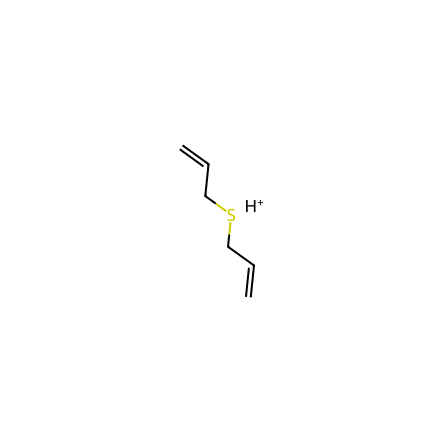 C=CCSCC=C.[H+]